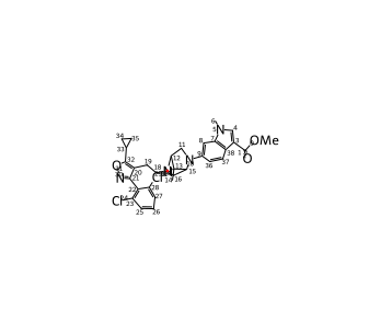 COC(=O)c1cn(C)c2cc(N3CC4[C@@H](C)C3CN4CCc3c(-c4c(Cl)cccc4Cl)noc3C3CC3)ccc12